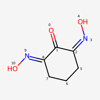 O=C1/C(=N\O)CCC/C1=N\O